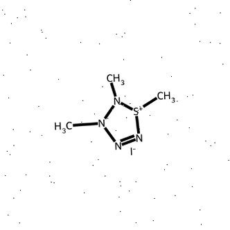 CN1N=N[S+](C)N1C.[I-]